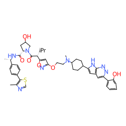 Cc1ncsc1-c1ccc([C@H](C)NC(=O)[C@@H]2C[C@@H](O)CN2C(=O)[C@@H](c2cc(OCCN(C)C3CCC(c4cc5cc(-c6ccccc6O)nnc5[nH]4)CC3)no2)C(C)C)cc1